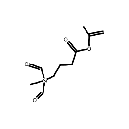 C=C(C)OC(=O)CCC[Si](C)(C=O)C=O